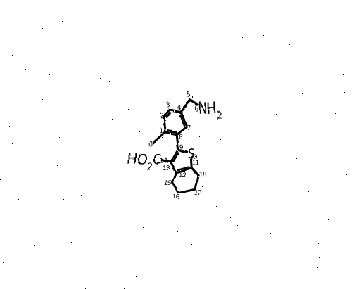 Cc1ccc(CN)cc1-c1sc2c(c1C(=O)O)CCCC2